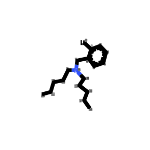 [Li][c]1ccccc1CN(CCCCC)CCCCC